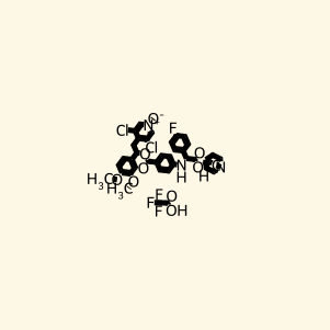 COc1ccc(C(Cc2c(Cl)c[n+]([O-])cc2Cl)OC(=O)c2ccc(NC(C(=O)O[C@H]3CN4CCC3CC4)c3ccc(F)cc3)cc2)cc1OC.O=C(O)C(F)(F)F